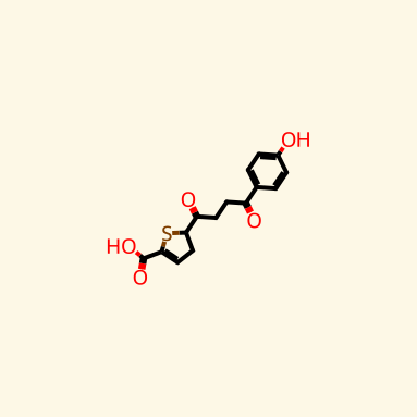 O=C(O)C1=CCC(C(=O)CCC(=O)c2ccc(O)cc2)S1